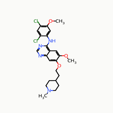 COc1cc(Nc2ncnc3cc(OCCC4CCN(C)CC4)c(OC)cc23)c(Cl)cc1Cl